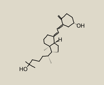 C=C1CC[C@H](O)C/C1=C\C=C1/CCC[C@]2(C)[C@@H]([C@H](C)CCCC(C)(C)O)CC[C@@H]12